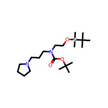 CC(C)(C)OC(=O)N(CCCN1CCCC1)CCO[Si](C)(C)C(C)(C)C